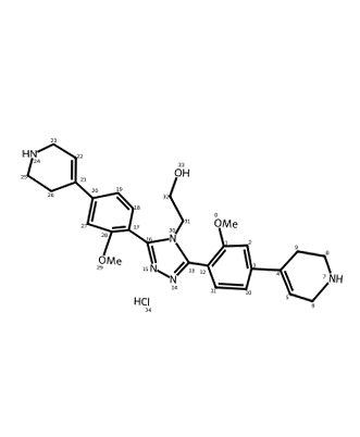 COc1cc(C2=CCNCC2)ccc1-c1nnc(-c2ccc(C3=CCNCC3)cc2OC)n1CCO.Cl